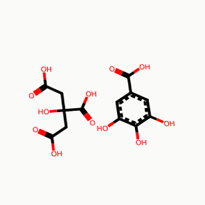 O=C(O)CC(O)(CC(=O)O)C(=O)O.O=C(O)c1cc(O)c(O)c(O)c1